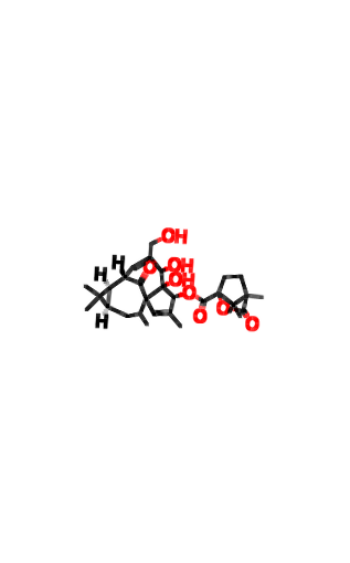 CC1=CC23C(=O)[C@@H](C=C(CO)[C@@H](O)[C@]2(O)[C@H]1OC(=O)C12CCC(C)(C(=O)O1)C2(C)C)[C@H]1[C@@H](CC3C)C1(C)C